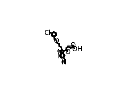 C[C@H](CC(=O)O)CC(=O)c1c(CCCCOCc2cccc(Cl)c2)n(C)c2ncc(CN(C)C)cc12